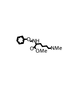 CNCCCCC(NCOc1ccccc1)C(=O)OC